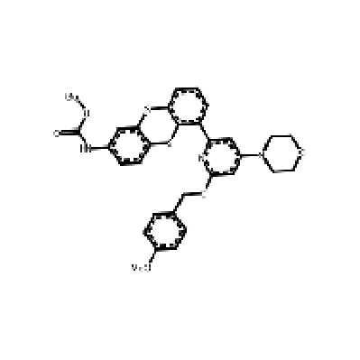 COc1ccc(COc2cc(N3CCOCC3)cc(-c3cccc4c3Sc3ccc(NC(=O)OC(C)(C)C)cc3S4)n2)cc1